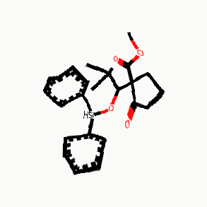 COC(=O)C1(C(O[SiH](c2ccccc2)c2ccccc2)C(C)(C)C)CCCC1=O